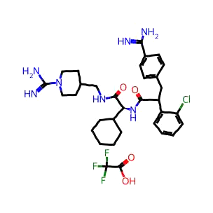 N=C(N)c1ccc(CC(C(=O)N[C@H](C(=O)NCC2CCN(C(=N)N)CC2)C2CCCCC2)c2ccccc2Cl)cc1.O=C(O)C(F)(F)F